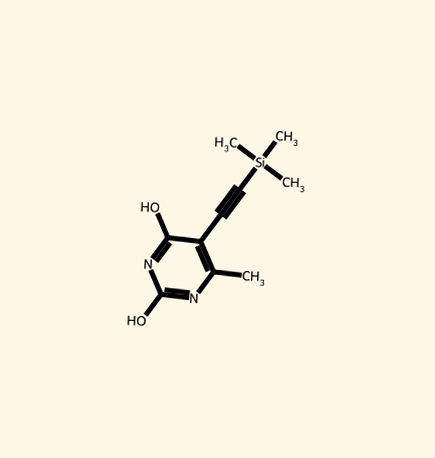 Cc1nc(O)nc(O)c1C#C[Si](C)(C)C